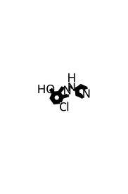 Oc1ccc(Cl)c2c1CN(Nc1ccncc1)C2